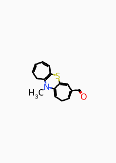 CN1C2=CCC=C(C=O)C=C2SC2=C1CC=CC=C2